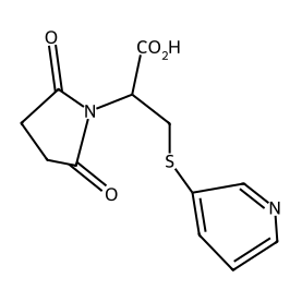 O=C(O)C(CSc1cccnc1)N1C(=O)CCC1=O